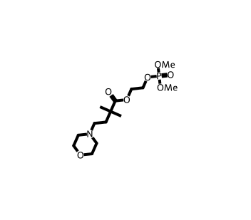 COP(=O)(OC)OCCOC(=O)C(C)(C)CCN1CCOCC1